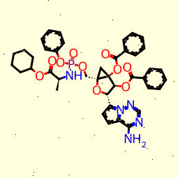 C[C@H](N[P@](=O)(OC[C@]12C[C@]1(OC(=O)c1ccccc1)[C@@H](OC(=O)c1ccccc1)[C@H](c1ccc3c(N)ncnn13)O2)Oc1ccccc1)C(=O)OC1CCCCC1